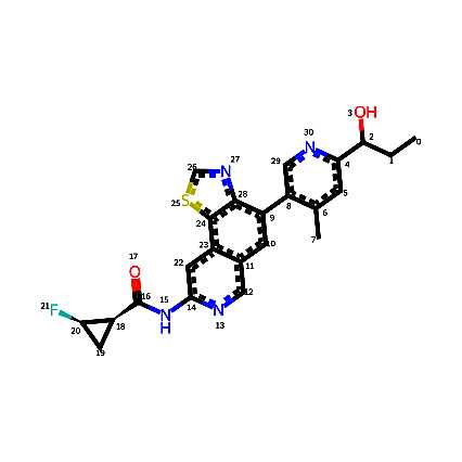 CCC(O)c1cc(C)c(-c2cc3cnc(NC(=O)[C@H]4C[C@H]4F)cc3c3scnc23)cn1